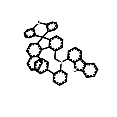 c1ccc(-c2ccccc2N(Cc2cccc3c2-c2c(ccc4ccccc24)C32c3ccccc3Sc3ccccc32)c2cccc3c2oc2ccccc23)cc1